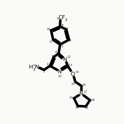 NCc1cc(-c2ccc(C(F)(F)F)cc2)nc(OCCN2CCCC2)n1